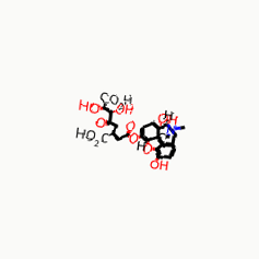 CN1CC[C@]23c4c5ccc(O)c4O[C@H]2C(OC(=O)C[C@H](CC(=O)[C@H](O)[C@@H](O)C(=O)O)C(=O)O)=CC[C@@]3(O)[C@H]1C5